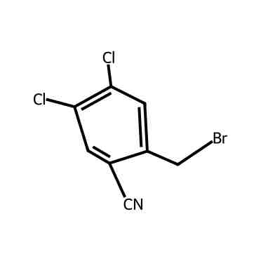 N#Cc1cc(Cl)c(Cl)cc1CBr